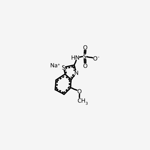 COc1cccc2sc(NS(=O)(=O)[O-])nc12.[Na+]